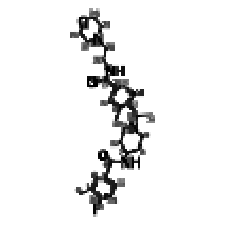 Cc1cc(C(=O)NC2CCN(C(C)c3ccc(C(=O)NCCN4CCOCC4)cc3C)CC2)ccc1F